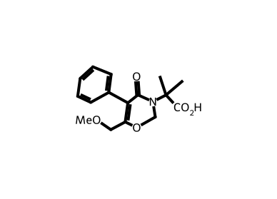 COCC1=C(c2ccccc2)C(=O)N(C(C)(C)C(=O)O)CO1